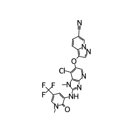 Cn1cc(C(F)(F)F)cc(Nc2nc3ncc(Oc4cnn5cc(C#N)ccc45)c(Cl)c3n2C)c1=O